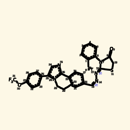 CC(C)c1ccccc1N1C(=O)CS/C1=N\N=C/c1ccc2c(c1)CCn1c(-c3ccc(OC(F)(F)F)cc3)cnc1-2